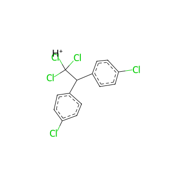 Clc1ccc(C(c2ccc(Cl)cc2)C(Cl)(Cl)Cl)cc1.[H+]